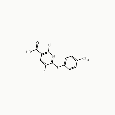 Cc1ccc(Sc2nc(Cl)c(C(=O)O)cc2F)cc1